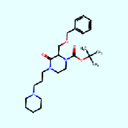 CC(C)(C)OC(=O)N1CCN(CCCN2CCCCC2)C(=O)[C@H]1COCc1ccccc1